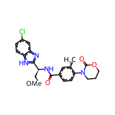 COC[C@H](NC(=O)c1ccc(N2CCCOC2=O)c(C)c1)c1nc2cc(Cl)ccc2[nH]1